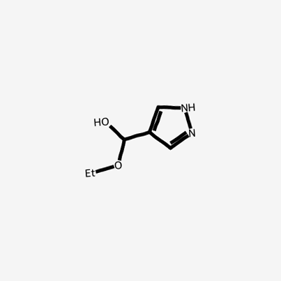 CCOC(O)c1cn[nH]c1